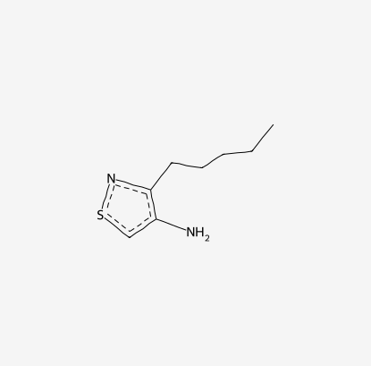 CCCCCc1nscc1N